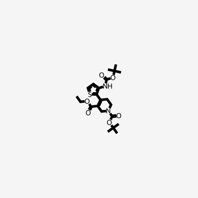 CCOC(=O)C1=C(c2sccc2NC(=O)OC(C)(C)C)CCN(C(=O)OC(C)(C)C)C1